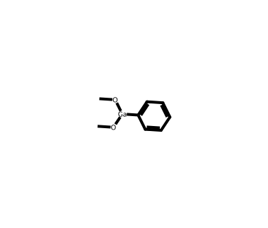 C[O][Ga]([O]C)[c]1ccccc1